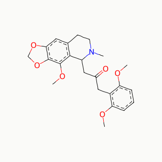 COc1cccc(OC)c1CC(=O)CC1c2c(cc3c(c2OC)OCO3)CCN1C